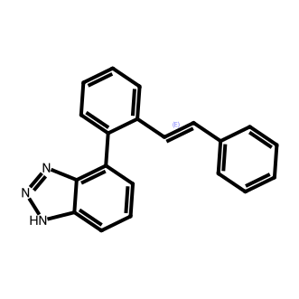 C(=C\c1ccccc1-c1cccc2[nH]nnc12)/c1ccccc1